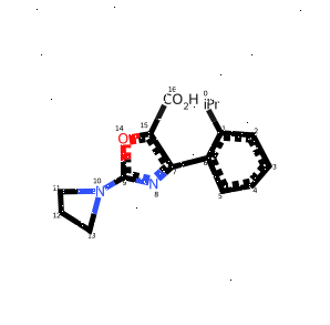 CC(C)c1ccccc1-c1nc(N2CCC2)oc1C(=O)O